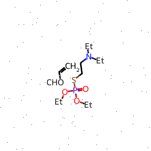 C=CC=O.CCOP(=O)(OCC)SCCN(CC)CC